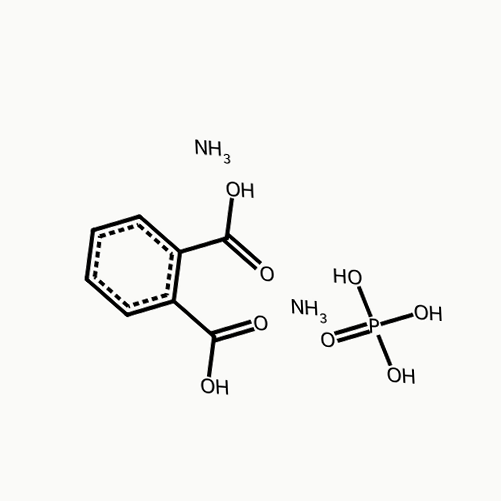 N.N.O=C(O)c1ccccc1C(=O)O.O=P(O)(O)O